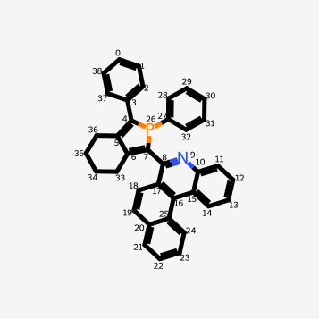 c1ccc(-c2c3c(c(-c4nc5ccccc5c5c4ccc4ccccc45)p2-c2ccccc2)CCCC3)cc1